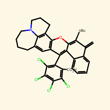 C=c1c(CCCC)c2c(c3ccccc13)=C(c1c(Cl)c(Cl)c(Cl)c(Cl)c1C(=O)O)c1cc3c4c(c1O2)CCCN4CCCC3